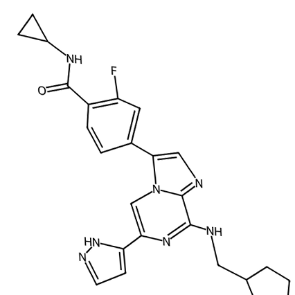 O=C(NC1CC1)c1ccc(-c2cnc3c(NCC4CCCO4)nc(-c4ccn[nH]4)cn23)cc1F